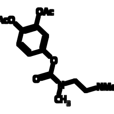 CNCCN(C)C(=O)Oc1ccc(OC(C)=O)c(OC(C)=O)c1